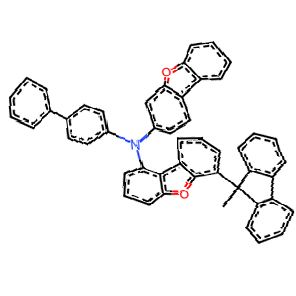 CC1(c2cccc3c2oc2cccc(N(c4ccc(-c5ccccc5)cc4)c4ccc5c(c4)oc4ccccc45)c23)c2ccccc2-c2ccccc21